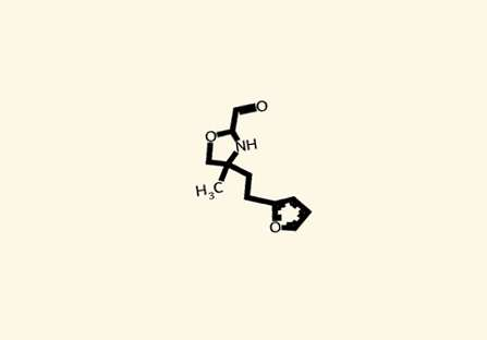 CC1(CCc2ccco2)COC(C=O)N1